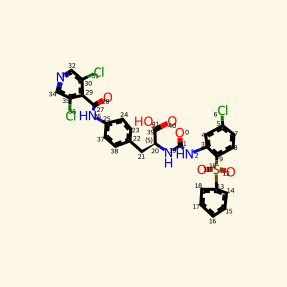 O=C(Nc1cc(Cl)ccc1S(=O)(=O)c1ccccc1)N[C@@H](Cc1ccc(NC(=O)c2c(Cl)cncc2Cl)cc1)C(=O)O